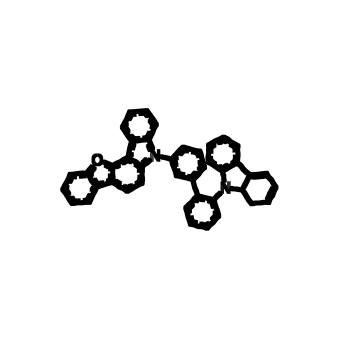 C1=CCC2C(=C1)c1ccccc1N2c1ccccc1-c1cccc(-n2c3ccccc3c3c4oc5ccccc5c4ccc32)c1